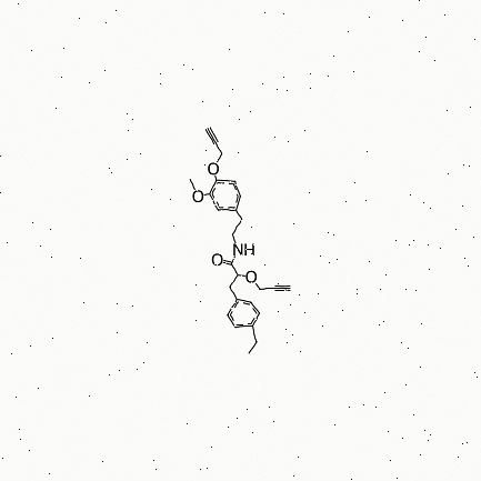 C#CCOc1ccc(CCNC(=O)C(Cc2ccc(CC)cc2)OCC#C)cc1OC